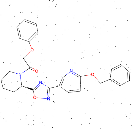 O=C(COc1ccccc1)N1CCCC[C@@H]1c1nc(-c2ccc(OCc3ccccc3)nc2)no1